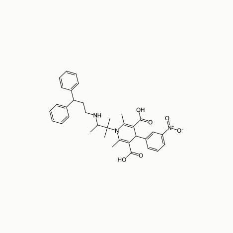 CC1=C(C(=O)O)C(c2cccc([N+](=O)[O-])c2)C(C(=O)O)=C(C)N1C(C)(C)C(C)NCCC(c1ccccc1)c1ccccc1